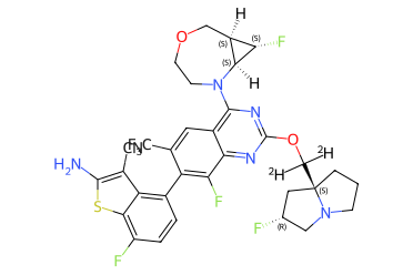 [2H]C([2H])(Oc1nc(N2CCOC[C@H]3[C@H](F)[C@H]32)c2cc(C(F)(F)F)c(-c3ccc(F)c4sc(N)c(C#N)c34)c(F)c2n1)[C@@]12CCCN1C[C@H](F)C2